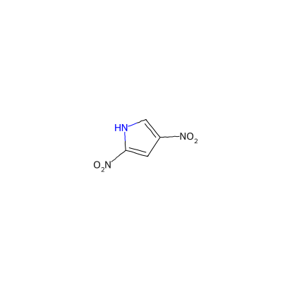 O=[N+]([O-])c1c[nH]c([N+](=O)[O-])c1